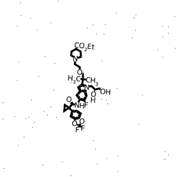 CCOC(=O)C1CCN(CCOCC(C)(C)c2cc3cc(NC(=O)C4(c5ccc6c(c5)OC(F)(F)O6)CC4)c(F)cc3n2C[C@@H](O)CO)CC1